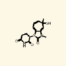 Cn1c2c(n(C3CCC(=O)NC3=O)c1=O)=CC=CC(C)(S)C=2